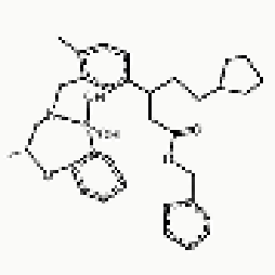 Cc1ccc(C(CCC2CCCC2)CC(=O)OCc2ccccc2)cc1CN1C[C@@H](C)Oc2ccccc2S1(O)O